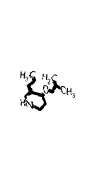 C=C(C)COC1CCNCC1CCC